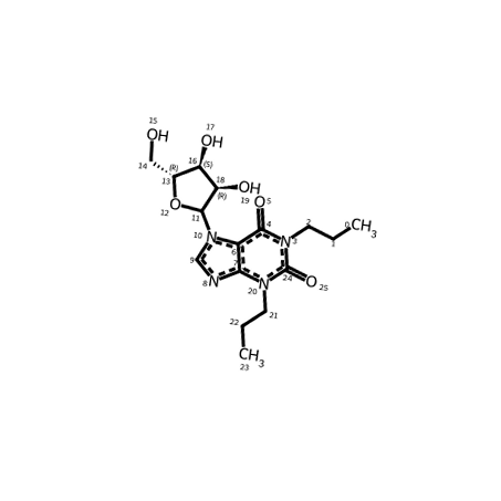 CCCn1c(=O)c2c(ncn2C2O[C@H](CO)[C@@H](O)[C@H]2O)n(CCC)c1=O